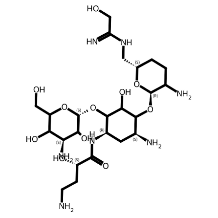 N=C(CO)NC[C@@H]1CCC(N)[C@@H](OC2C(O)C(O[C@H]3OC(CO)C(O)[C@H](N)C3O)[C@H](NC(=O)[C@@H](O)CCN)C[C@@H]2N)O1